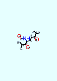 CC(C)C(=O)CC[C@H](NC=O)C(=O)C(C)C